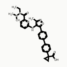 CCN(C(=O)c1cccc(Nc2c(C)noc2-c2ccc(-c3ccc(C4(C(=O)O)CC4)cc3)cc2)n1)N(C)C